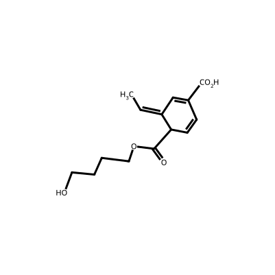 CC=C1C=C(C(=O)O)C=CC1C(=O)OCCCCO